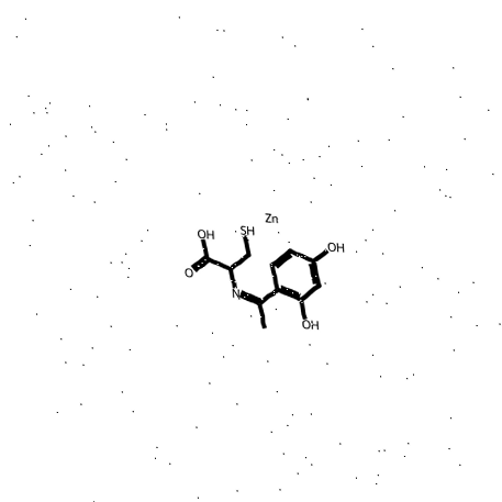 C/C(=N/C(CS)C(=O)O)c1ccc(O)cc1O.[Zn]